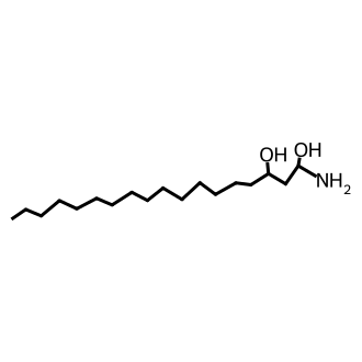 CCCCCCCCCCCCCCCC(O)CC(N)O